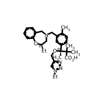 CC[C@@H]1CN(Cc2cc([C@@](C)(OCc3cn(CC)nn3)C(C)(C)C(=O)O)ccc2C)Cc2ccccc2O1